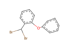 BrC(Br)c1ccccc1Oc1ccccc1